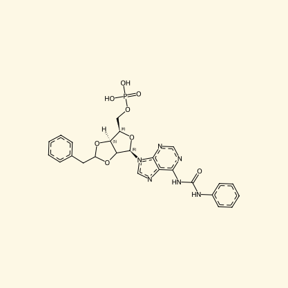 O=C(Nc1ccccc1)Nc1ncnc2c1ncn2[C@@H]1O[C@H](COP(=O)(O)O)[C@@H]2OC(Cc3ccccc3)OC21